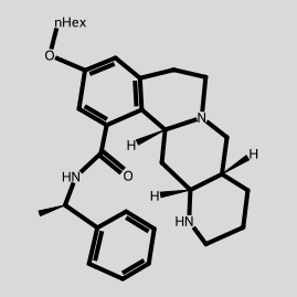 CCCCCCOc1cc2c(c(C(=O)N[C@H](C)c3ccccc3)c1)[C@H]1C[C@H]3NCCC[C@H]3CN1CC2